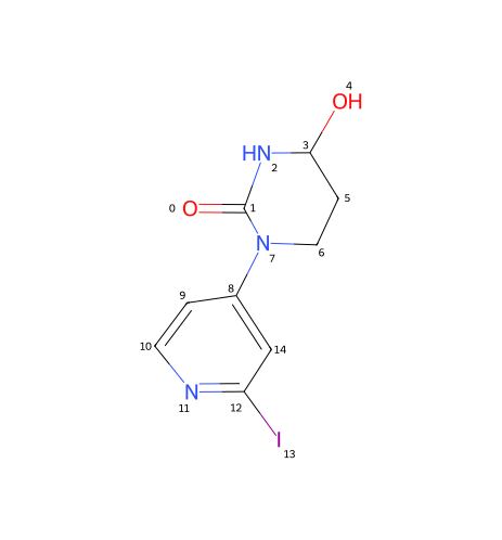 O=C1NC(O)CCN1c1ccnc(I)c1